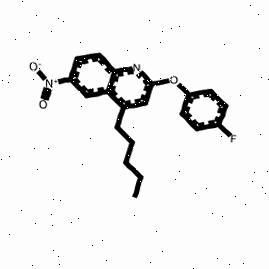 CCCCCc1cc(Oc2ccc(F)cc2)nc2ccc([N+](=O)[O-])cc12